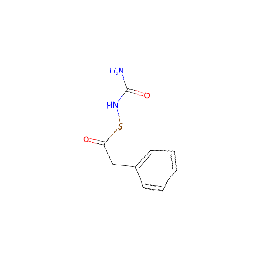 NC(=O)NSC(=O)Cc1ccccc1